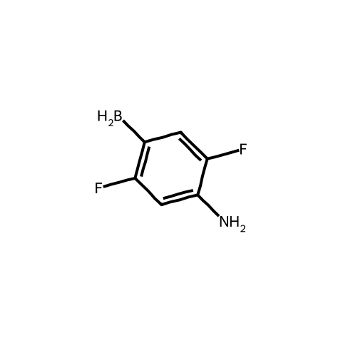 Bc1cc(F)c(N)cc1F